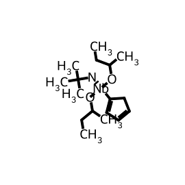 CCC(C)[O][Nb](=[N]C(C)(C)C)([O]C(C)CC)[C]1=CC=CC1